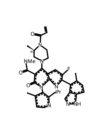 C=CC(=O)N1CCN(c2c(C(=O)NC)c(=O)n(-c3c(C)ccnc3C(C)C)c3nc(-c4c(C)ccc5[nH]ncc45)c(F)cc23)C[C@H]1C